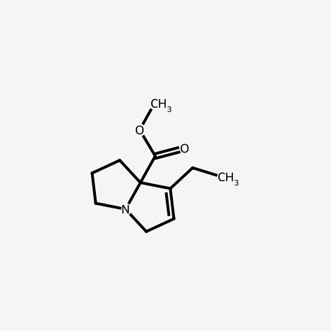 CCC1=CCN2CCCC12C(=O)OC